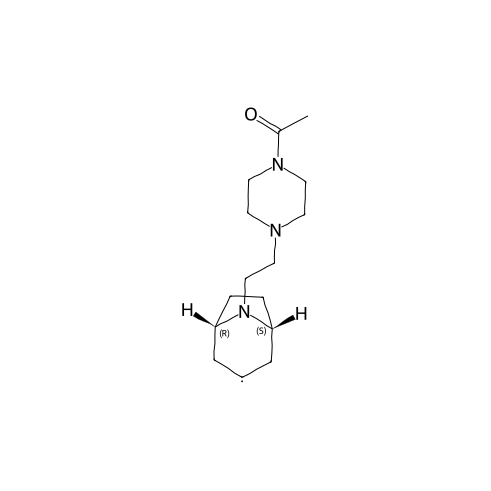 CC(=O)N1CCN(CCN2[C@@H]3C[CH]C[C@H]2CC3)CC1